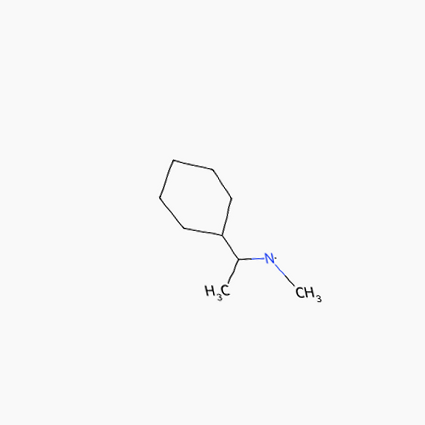 C[N]C(C)C1CCCCC1